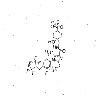 CCc1nc(C(=O)NCC2(O)CCC(S(C)(=O)=O)CC2)c(C)n1-c1ccc(CC(C(F)(F)F)C(F)(F)F)c(F)c1